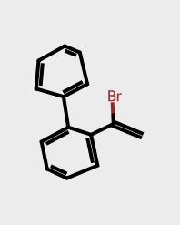 C=C(Br)c1ccccc1-c1ccccc1